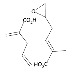 C=CCC(=C)C(=O)O.CC(=CCC1CO1)C(=O)O